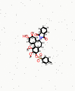 COc1c(OS(=O)(=O)c2ccc(C)cc2)cc2c(c1OC)-c1ccc(O)c(=O)cc1[C@@H](N1C(=O)c3ccccc3C1=O)CC2